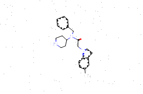 N#Cc1ccc2c(ccn2CC(=O)N(Cc2ccccc2)C2CCNCC2)c1